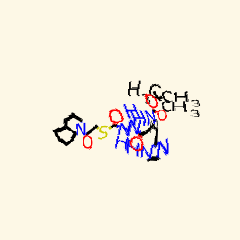 CC(C)(C)OC(=O)N[C@@H](Cc1ncc[nH]1)C(=O)NNC(=O)SCC(=O)N1CCCc2ccccc21